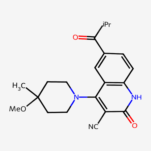 COC1(C)CCN(c2c(C#N)c(=O)[nH]c3ccc(C(=O)C(C)C)cc23)CC1